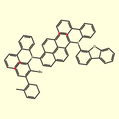 CCC(C)c1c(C2=C(C)C=CCC2)cccc1N(c1ccccc1-c1ccccc1)c1ccc2ccc3c(N(c4ccccc4-c4ccccc4)c4cccc5c4oc4ccccc45)ccc4ccc1c2c43